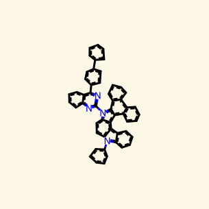 c1ccc(-c2ccc(-c3nc(-n4c5ccc6c(c7ccccc7n6-c6ccccc6)c5c5c6ccccc6c6ccccc6c54)nc4ccccc34)cc2)cc1